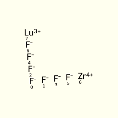 [F-].[F-].[F-].[F-].[F-].[F-].[F-].[Lu+3].[Zr+4]